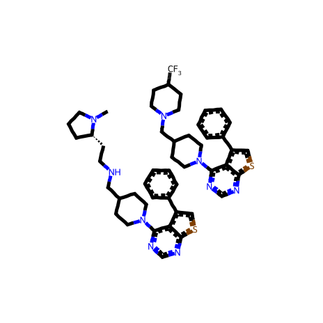 CN1CCC[C@H]1CCNCC1CCN(c2ncnc3scc(-c4ccccc4)c23)CC1.FC(F)(F)C1CCN(CC2CCN(c3ncnc4scc(-c5ccccc5)c34)CC2)CC1